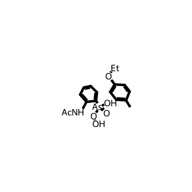 CC(=O)Nc1ccccc1[As](=O)(O)OO.CCOc1ccc(C)cc1